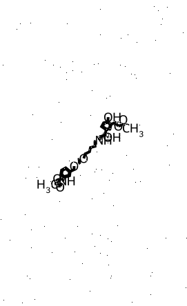 CC(=O)OCc1cc([C@@H](O)CNCCCCCOCCOCc2cccc(NS(C)(=O)=O)c2)ccc1O